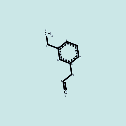 CCc1cccc(CC=O)c1